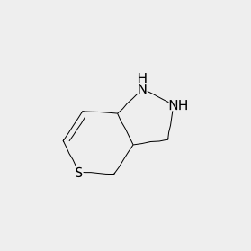 C1=CC2NNCC2CS1